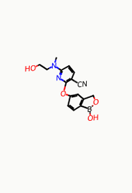 CN(CCO)c1ccc(C#N)c(Oc2ccc3c(c2)COB3O)n1